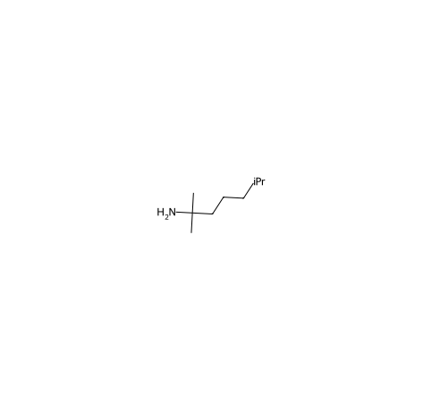 CC(C)CCCC(C)(C)N